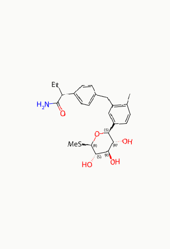 CCC(C(N)=O)c1ccc(Cc2cc([C@@H]3O[C@H](SC)[C@@H](O)[C@H](O)[C@H]3O)ccc2C)cc1